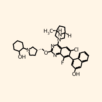 C[C@]12CC[C@H](CN(c3nc(OC[C@@H]4CCN(C5CCCCC5O)C4)nc4c(F)c(-c5cc(O)cc6ccccc56)c(Cl)cc34)C1)N2